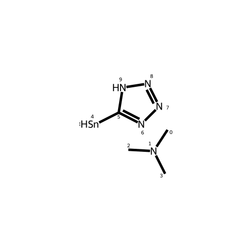 CN(C)C.[SnH][c]1nnn[nH]1